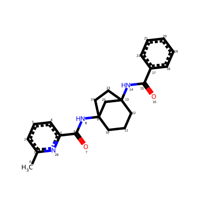 Cc1cccc(C(=O)NC23CCCC(NC(=O)c4ccccc4)(CC2)C3)n1